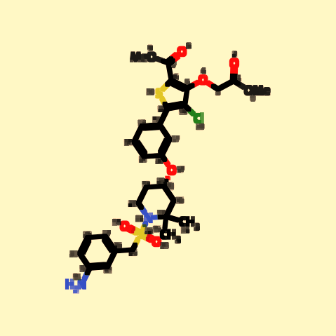 COC(=O)COc1c(C(=O)OC)sc(-c2cccc(O[C@H]3CCN(S(=O)(=O)Cc4cccc(N)c4)C(C)(C)C3)c2)c1Cl